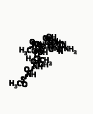 CC(=O)SCCNC(=O)CCNC(=O)C(O)C(C)(C)COP(=O)(O)OP(=O)(O)OC[C@H]1O[C@@H](n2cnc3c(N)ncnc32)[C@H](O)[C@@H]1OP(=O)(O)O.CCCC(=O)O